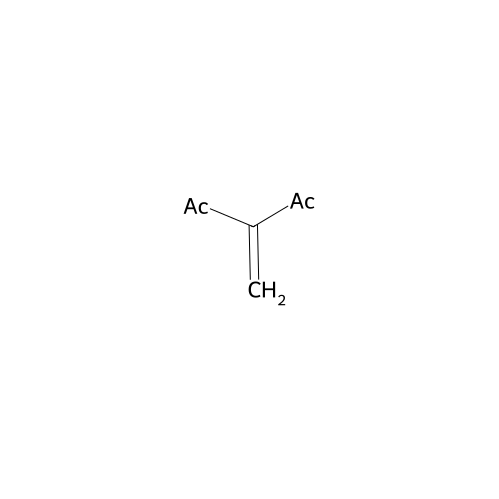 C=C(C(C)=O)C(C)=O